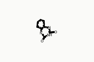 O=c1nc2ccccc2nc(=O)[nH]1